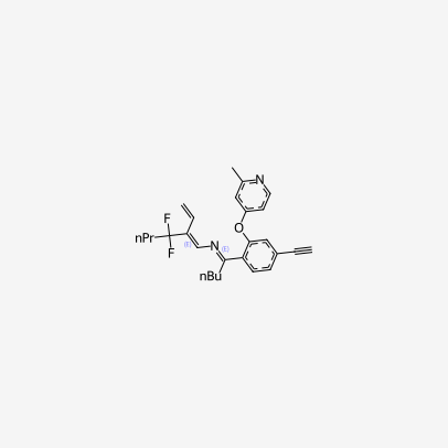 C#Cc1ccc(/C(CCCC)=N/C=C(\C=C)C(F)(F)CCC)c(Oc2ccnc(C)c2)c1